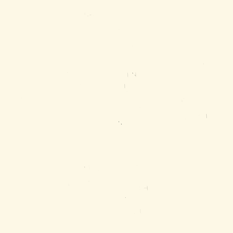 CC(C)(C)c1ccc(Nc2cc3c(cc2-c2c4c(c5c6cc7c(cc6n6c5c2Bc2cc5oc8ccccc8c5cc2-6)C(C)(C)CCC7(C)C)-c2ccccc2C4(C)C)sc2ccccc23)cc1